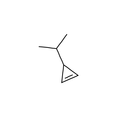 CC(C)C1C=C1